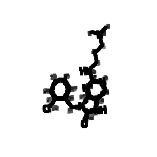 CN(C)CCCNc1ncc2[nH]c(=O)n(Cc3ccccc3Cl)c2n1